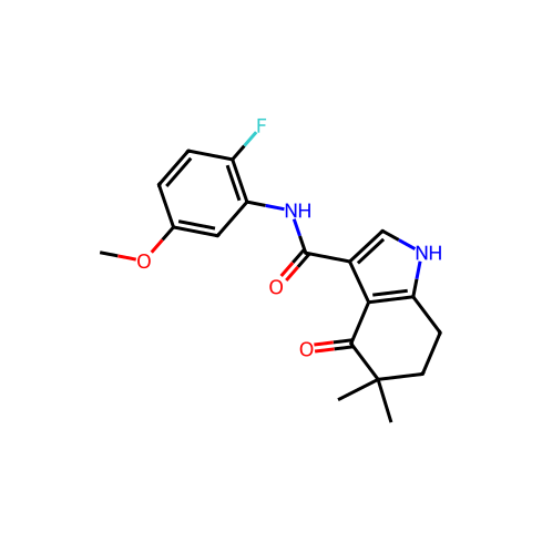 COc1ccc(F)c(NC(=O)c2c[nH]c3c2C(=O)C(C)(C)CC3)c1